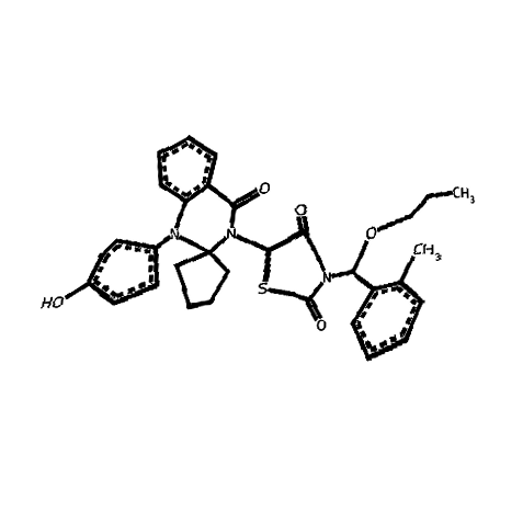 CCCOC(c1ccccc1C)N1C(=O)SC(N2C(=O)c3ccccc3N(c3ccc(O)cc3)C23CCCC3)C1=O